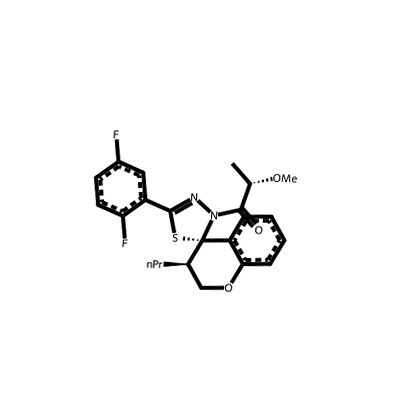 CCC[C@@H]1COc2ccccc2[C@@]12SC(c1cc(F)ccc1F)=NN2C(=O)[C@H](C)OC